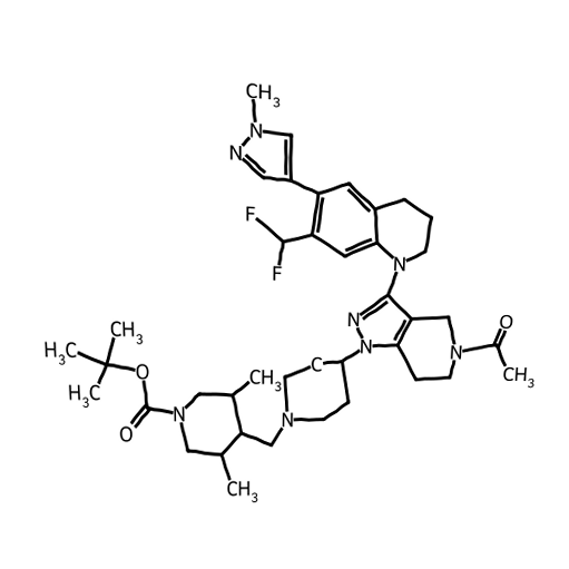 CC(=O)N1CCc2c(c(N3CCCc4cc(-c5cnn(C)c5)c(C(F)F)cc43)nn2C2CCN(CC3C(C)CN(C(=O)OC(C)(C)C)CC3C)CC2)C1